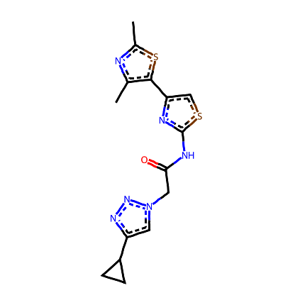 Cc1nc(C)c(-c2csc(NC(=O)Cn3cc(C4CC4)nn3)n2)s1